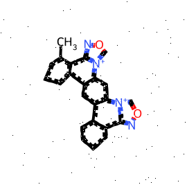 Cc1cccc2c3cc4c5ccccc5c5noc[n+]5c4cc3[n+]3conc3c12